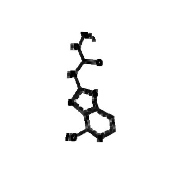 NNC(=O)Nc1nc2c(O)nccc2s1